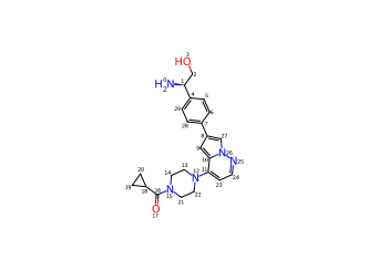 N[C@@H](CO)c1ccc(-c2cc3c(N4CCN(C(=O)C5CC5)CC4)ccnn3c2)cc1